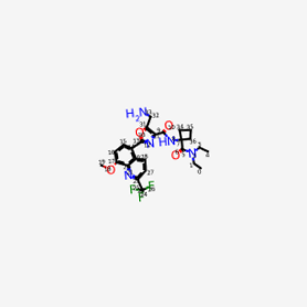 CCN(CC)C(=O)C1(NC(=O)c2nc(-c3ccc(OC)c4nc(C(F)(F)F)ccc34)oc2CN)CCC1